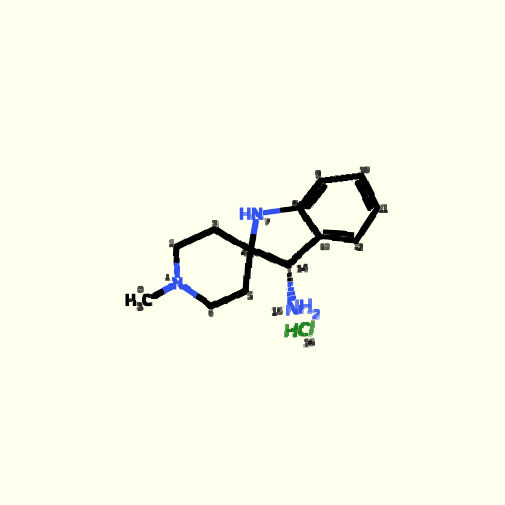 CN1CCC2(CC1)Nc1ccccc1[C@@H]2N.Cl